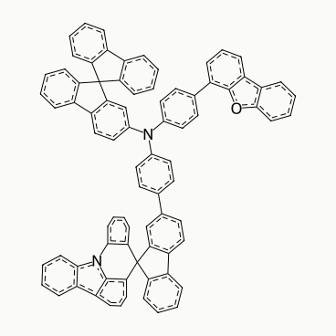 c1ccc2c(c1)-c1ccccc1C21c2ccccc2-c2ccc(N(c3ccc(-c4ccc5c(c4)C4(c6ccccc6-5)c5ccccc5-n5c6ccccc6c6cccc4c65)cc3)c3ccc(-c4cccc5c4oc4ccccc45)cc3)cc21